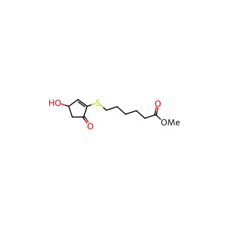 COC(=O)CCCCCSC1=CC(O)CC1=O